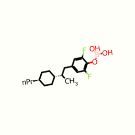 CCC[C@H]1CC[C@H](C(C)Cc2cc(F)c(OB(O)O)c(F)c2)CC1